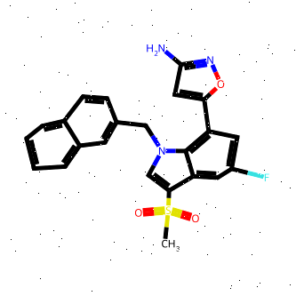 CS(=O)(=O)c1cn(Cc2ccc3ccccc3c2)c2c(-c3cc(N)no3)cc(F)cc12